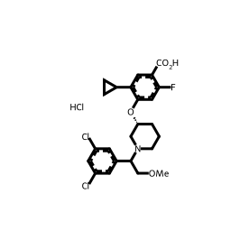 COCC(c1cc(Cl)cc(Cl)c1)N1CCC[C@@H](Oc2cc(F)c(C(=O)O)cc2C2CC2)C1.Cl